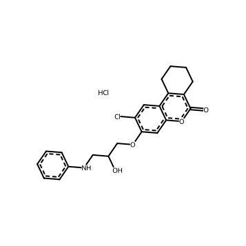 Cl.O=c1oc2cc(OCC(O)CNc3ccccc3)c(Cl)cc2c2c1CCCC2